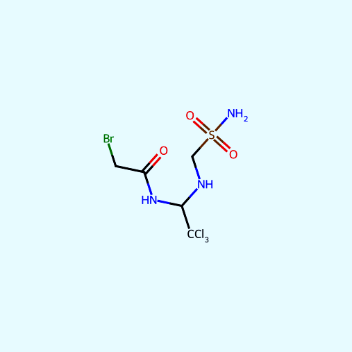 NS(=O)(=O)CNC(NC(=O)CBr)C(Cl)(Cl)Cl